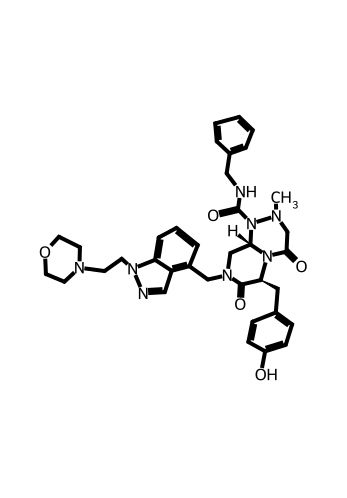 CN1CC(=O)N2[C@@H](Cc3ccc(O)cc3)C(=O)N(Cc3cccc4c3cnn4CCN3CCOCC3)C[C@@H]2N1C(=O)NCc1ccccc1